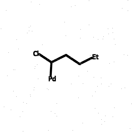 CCCC[CH](Cl)[Pd]